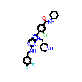 O=C(NC1CCCCC1)c1ccc(-c2nc3cnc(NCc4ccc(F)c(F)c4)nc3n2C[C@@H]2CCCNC2)c(Cl)c1